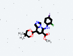 COC(=O)c1cc(C2OCC(C)(C)CO2)c2cncn2c1Nc1ccc(I)cc1F